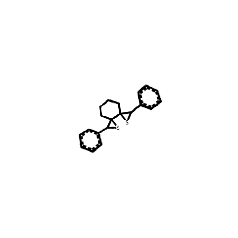 c1ccc(C2SC23CCCCC32SC2c2ccccc2)cc1